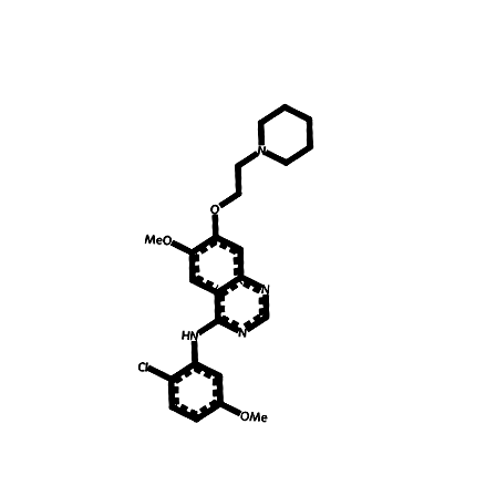 COc1ccc(Cl)c(Nc2ncnc3cc(OCCN4CCCCC4)c(OC)cc23)c1